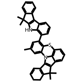 Cc1cc(-c2cccc3c4c([nH]c23)C(C)(C)c2ccccc2-4)c2c(c1)-n1c3c(c4cccc(c41)S2)C(C)(C)C1=C3C=CCC1